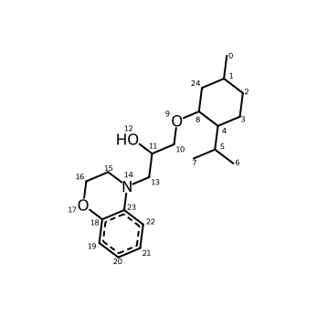 CC1CCC(C(C)C)C(OCC(O)CN2CCOc3ccccc32)C1